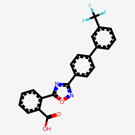 O=C(O)c1ccccc1-c1nc(-c2ccc(-c3cccc(C(F)(F)F)c3)cc2)no1